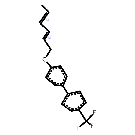 C/C=C/C=C/COc1ccc(-c2ccc(C(F)(F)F)cc2)cc1